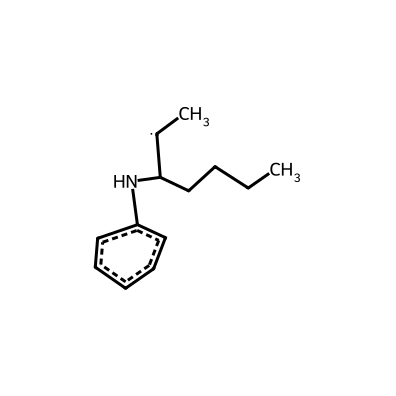 C[CH]C(CCCC)Nc1ccccc1